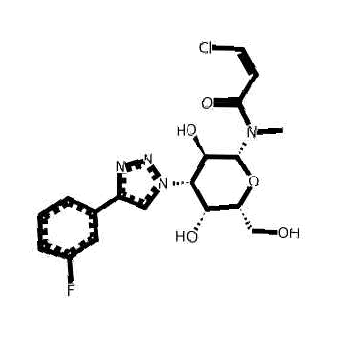 CN(C(=O)/C=C\Cl)[C@@H]1O[C@H](CO)[C@H](O)[C@H](n2cc(-c3cccc(F)c3)nn2)[C@H]1O